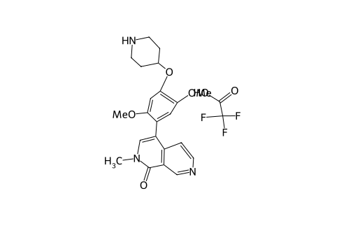 COc1cc(-c2cn(C)c(=O)c3cnccc23)c(OC)cc1OC1CCNCC1.O=C(O)C(F)(F)F